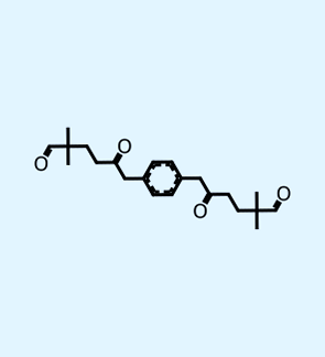 CC(C)(C=O)CCC(=O)Cc1ccc(CC(=O)CCC(C)(C)C=O)cc1